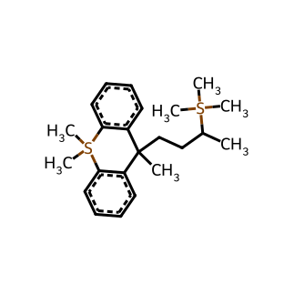 CC(CCC1(C)c2ccccc2S(C)(C)c2ccccc21)S(C)(C)C